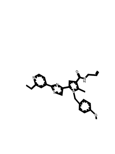 C=CCNC(=O)c1cc(-c2csc(-c3ccnc(CC)c3)n2)n(Cc2ccc(OC)cc2)c1C